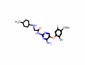 COc1cc(C(C)C)c(Oc2cnc(NC(=O)CNC3CCC(C)CC3)nc2N)cc1I